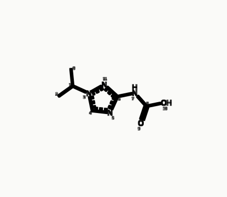 CC(C)n1cnc(NC(=O)O)n1